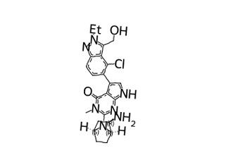 CCn1nc2ccc(-c3c[nH]c4nc(N5[C@H]6CC[C@@H]5[C@H](N)C6)n(C)c(=O)c34)c(Cl)c2c1CO